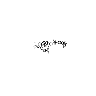 Cc1ccc(COCC(F)(F)F)c(N2C(=O)CS/C2=N\C(=O)Nc2ccc(-c3ncn(-c4ccc(OCC(F)(F)F)cc4)n3)cc2F)c1